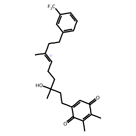 CC1=C(C)C(=O)C(CCC(C)(O)CC/C=C(\C)CCc2cccc(C(F)(F)F)c2)=CC1=O